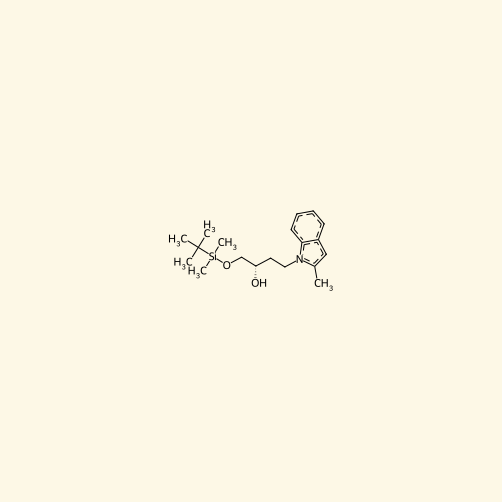 Cc1cc2ccccc2n1CC[C@H](O)CO[Si](C)(C)C(C)(C)C